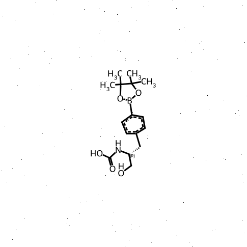 CC1(C)OB(c2ccc(C[C@H](CO)NC(=O)O)cc2)OC1(C)C